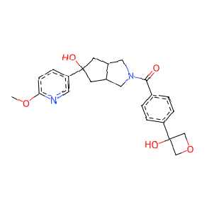 COc1ccc(C2(O)CC3CN(C(=O)c4ccc(C5(O)COC5)cc4)CC3C2)cn1